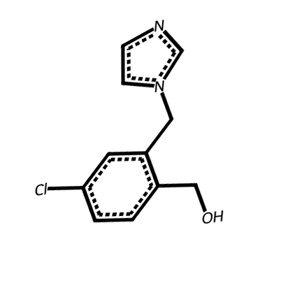 OCc1ccc(Cl)cc1Cn1ccnc1